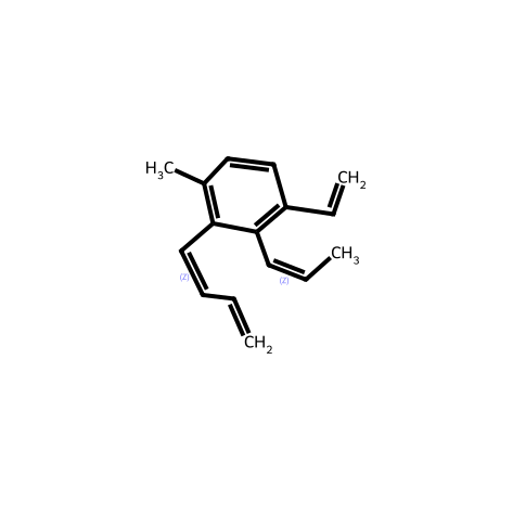 C=C/C=C\c1c(C)ccc(C=C)c1/C=C\C